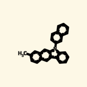 Cc1ccc2cc3c4ccccc4n(-c4ccc5ccccc5c4)c3cc2c1